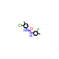 Cc1ccc(NC(=O)Nc2ccc(C)c(Cl)c2)cc1F